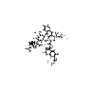 C=CC(=O)NC(Cc1ccccc1)C(=O)N1C[C@H](Oc2nccc3cc(OC)ccc23)C[C@H]1C(=O)N[C@]1(C(=O)NS(=O)(=O)C2CC2)C[C@H]1C=C